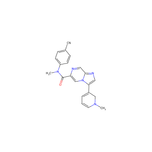 CN1C=CC=C(c2cnc3cnc(C(=O)N(C)c4ccc(C#N)cc4)cn23)C1